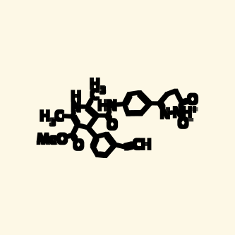 C#Cc1cccc(C2C(C(=O)Nc3ccc(C4=N[NH+]([O-])C(=O)CC4)cc3)=C(C)NC(C)=C2C(=O)OC)c1